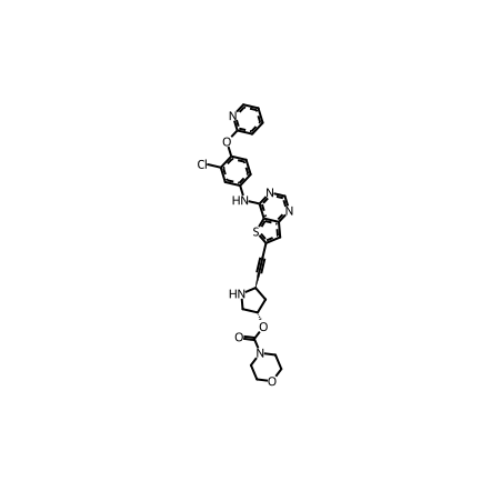 O=C(O[C@@H]1CN[C@@H](C#Cc2cc3ncnc(Nc4ccc(Oc5ccccn5)c(Cl)c4)c3s2)C1)N1CCOCC1